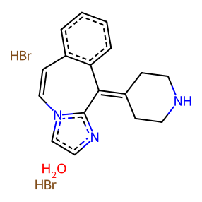 Br.Br.C1=Cn2ccnc2C(=C2CCNCC2)c2ccccc21.O